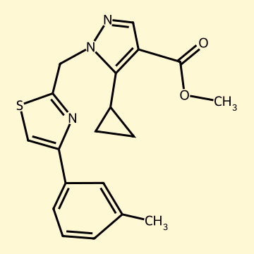 COC(=O)c1cnn(Cc2nc(-c3cccc(C)c3)cs2)c1C1CC1